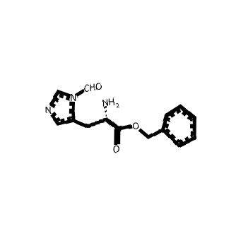 N[C@@H](Cc1cncn1C=O)C(=O)OCc1ccccc1